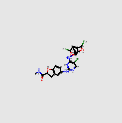 CNC(=O)C1Cc2cc(Nc3ncc(F)c(Nc4cc5c6c(c4OC5F)OC6F)n3)ccc2O1